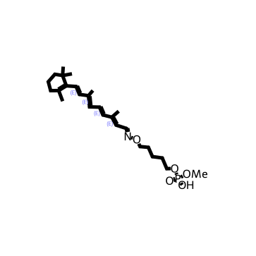 COP(=O)(O)OCCCCCON=C/C=C(C)/C=C/C=C(C)/C=C/C1=C(C)CCCC1(C)C